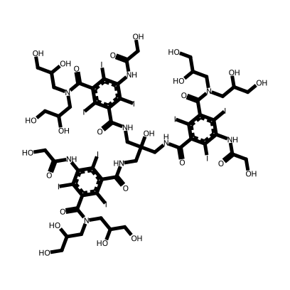 O=C(CO)Nc1c(I)c(C(=O)NCC(O)(CNC(=O)c2c(I)c(NC(=O)CO)c(I)c(C(=O)N(CC(O)CO)CC(O)CO)c2I)CNC(=O)c2c(I)c(NC(=O)CO)c(I)c(C(=O)N(CC(O)CO)CC(O)CO)c2I)c(I)c(C(=O)N(CC(O)CO)CC(O)CO)c1I